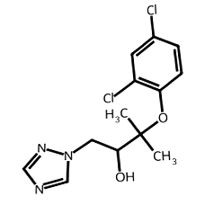 CC(C)(Oc1ccc(Cl)cc1Cl)C(O)Cn1cncn1